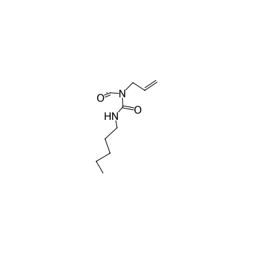 C=CCN([C]=O)C(=O)NCCCCC